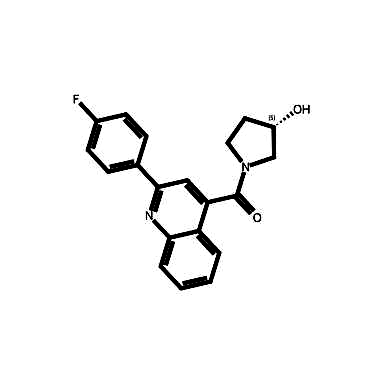 O=C(c1cc(-c2ccc(F)cc2)nc2ccccc12)N1CC[C@H](O)C1